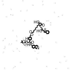 CO[C@@H]1C[C@H](O)C(CCCCCCC(=O)OCc2ccc(C(CNC(=O)OC(C)(C)C)C(=O)Nc3ccc4cnccc4c3)cc2)[C@H]1CC[C@@H](O)c1cc2ccccc2s1